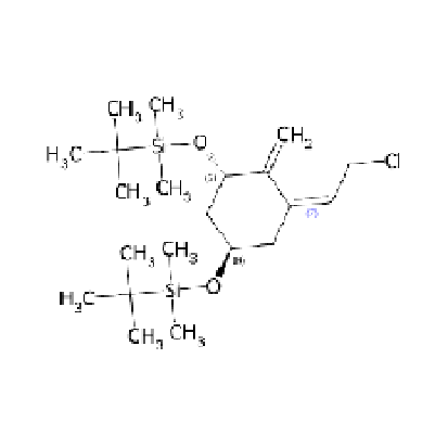 C=C1/C(=C\CCl)C[C@@H](O[Si](C)(C)C(C)(C)C)C[C@@H]1O[Si](C)(C)C(C)(C)C